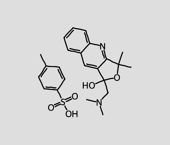 CN(C)CC1(O)OC(C)(C)c2nc3ccccc3cc21.Cc1ccc(S(=O)(=O)O)cc1